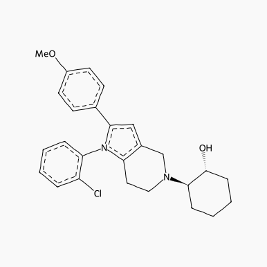 COc1ccc(-c2cc3c(n2-c2ccccc2Cl)CCN([C@@H]2CCCC[C@H]2O)C3)cc1